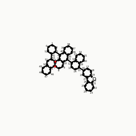 c1ccc(-c2c3ccccc3c(-c3ccc(-c4ccc5oc6ccccc6c5c4)c4ccccc34)c3ccccc23)c(-c2ccc3ccccc3c2)c1